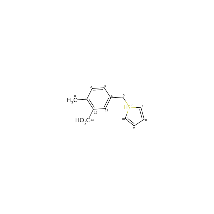 Cc1ccc(C[SH]2C=CC=C2)cc1C(=O)O